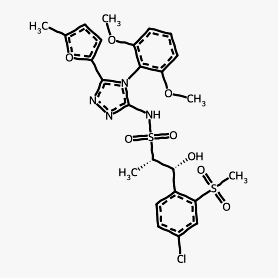 COc1cccc(OC)c1-n1c(NS(=O)(=O)[C@@H](C)[C@H](O)c2ccc(Cl)cc2S(C)(=O)=O)nnc1-c1ccc(C)o1